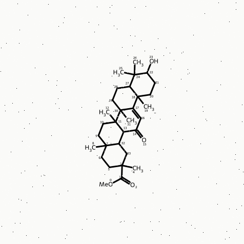 COC(=O)C1(C)CCC2(C)CCC3(C)C(C(=O)C=C4C5(C)CCC(O)C(C)(C)C5CCC43C)C2C1